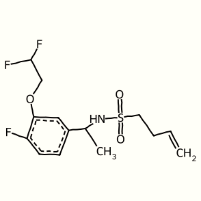 C=CCCS(=O)(=O)NC(C)c1ccc(F)c(OCC(F)F)c1